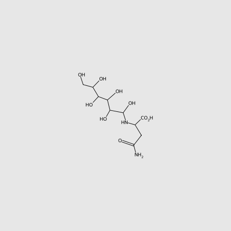 NC(=O)CC(NC(O)C(O)C(O)C(O)C(O)CO)C(=O)O